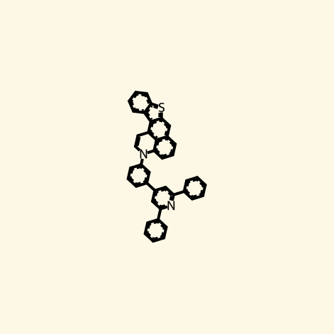 C1=CN(c2cccc(-c3cc(-c4ccccc4)nc(-c4ccccc4)c3)c2)c2cccc3cc4sc5ccccc5c4c1c23